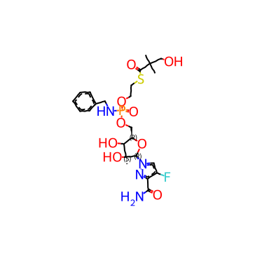 CC(C)(CO)C(=O)SCCOP(=O)(NCc1ccccc1)OC[C@H]1O[C@@H](n2cc(F)c(C(N)=O)n2)[C@@](C)(O)C1O